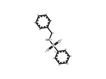 O=S(=O)(N[CH]c1ccccc1)c1ccccc1